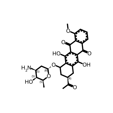 COc1cccc2c1C(=O)c1c(O)c3c(c(O)c1C2=O)C[C@@H](C(C)=O)CC3O[C@H]1C[C@H](N)[C@H](O)[C@H](C)O1